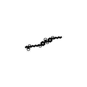 C=CC(=O)OCCCCCCOc1ccc(C(=O)Oc2ccc(OCCCCCC)cc2)cc1